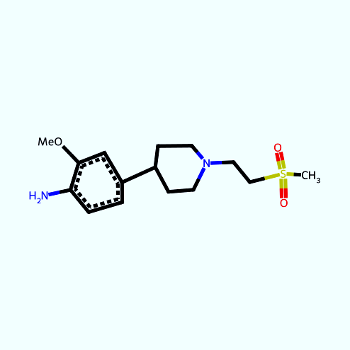 COc1cc(C2CCN(CCS(C)(=O)=O)CC2)ccc1N